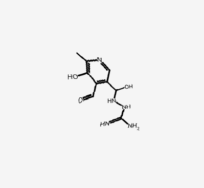 Cc1ncc(C(O)NNC(=N)N)c(C=O)c1O